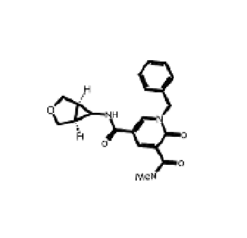 CNC(=O)c1cc(C(=O)NC2[C@H]3COC[C@@H]23)cn(Cc2ccccc2)c1=O